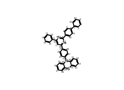 c1ccc(-c2ccc(-c3nc(-c4ccccc4)cc(-c4ccc(N5c6ccccc6Sc6ccccc65)cc4)n3)cc2)cc1